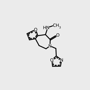 CNC1C(=O)N(Cc2ncco2)CCc2ccoc21